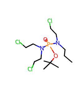 CCCN(CCCl)P(=O)(OC(C)(C)C)N(CCCl)CCCl